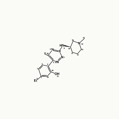 CCc1ccc(-c2nnc(N[C@@H]3CCCN(C)C3)nc2C)c(O)c1